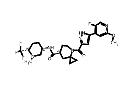 COc1cc(-c2cc(C(=O)N3CC[C@H](C(=O)N[C@@H]4CC[C@@H](C(F)(F)F)N(C)C4)CC34CC4)n[nH]2)c(F)cn1